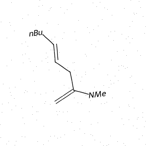 C=C(C/C=C/CCCC)NC